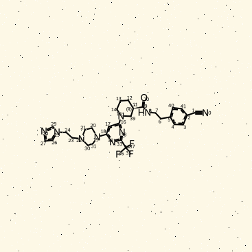 N#Cc1ccc(CCNC(=O)[C@@H]2CCCN(c3cc(N4CCN(CCn5ccnc5)CC4)nc(C(F)(F)F)n3)C2)cc1